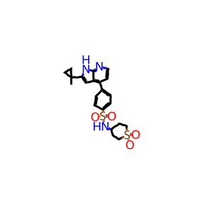 CC1(c2cc3c(-c4ccc(S(=O)(=O)NC5CCS(=O)(=O)CC5)cc4)ccnc3[nH]2)CC1